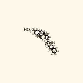 C[C@]12CC[C@H]3[C@@H](CC=C4C=C(C(=O)O)CC[C@@]43C)[C@@H]1CC[C@@H]2C(=O)NC(Cc1ccccc1)C(=O)C(F)(F)F